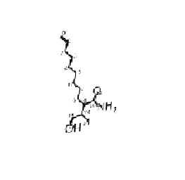 C=CCCCCCCCC(C(N)=O)C(C)CO